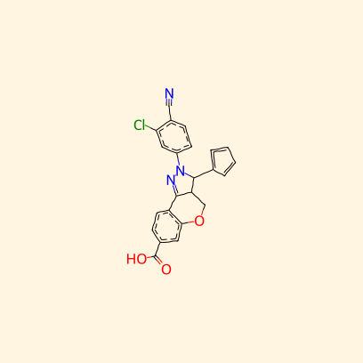 N#Cc1ccc(N2N=C3c4ccc(C(=O)O)cc4OCC3C2C2=C=CC=C2)cc1Cl